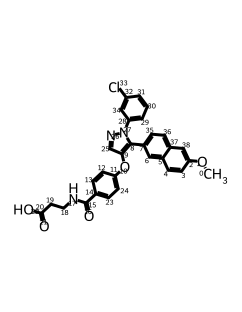 COc1ccc2cc(-c3c(Oc4ccc(C(=O)NCCC(=O)O)cc4)cnn3-c3cccc(Cl)c3)ccc2c1